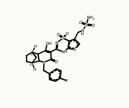 NS(=O)(=O)NCc1csc2c1S(=O)(=O)N=C(C1=C(O)C3C([C@@H]4CC[C@H]3C4)N(Cc3ccc(F)cc3)C1=O)N2